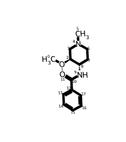 CO[C@H]1CN(C)CC[C@@H]1NC(=O)c1ccccc1